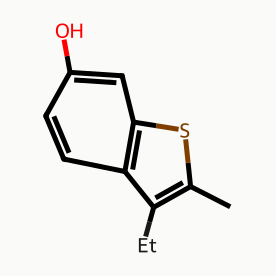 CCc1c(C)sc2cc(O)ccc12